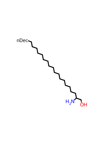 CCCCCCCCCCCCCCCCCCCCCCCCCCCC(N)CO